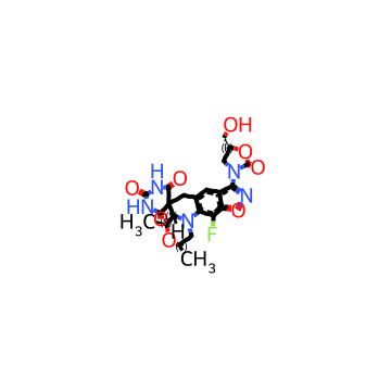 C[C@@H]1CN2c3c(cc4c(N5C[C@H](CO)OC5=O)noc4c3F)CC3(C(=O)NC(=O)NC3=O)[C@H]2[C@H](C)O1